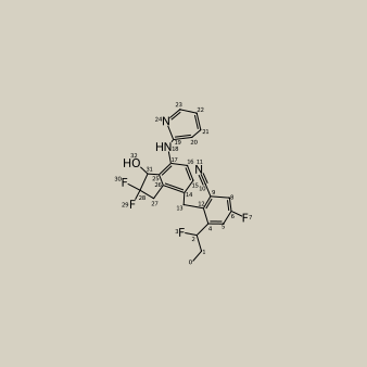 CCC(F)c1cc(F)cc(C#N)c1Cc1ccc(Nc2ccccn2)c2c1CC(F)(F)C2O